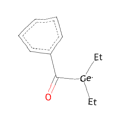 C[CH2][Ge]([CH2]C)[C](=O)c1ccccc1